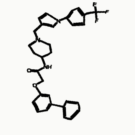 O=C(COc1cccc(-c2ccccc2)c1)NC1CCN(Cc2ccn(-c3ccc(C(F)(F)F)cc3)c2)CC1